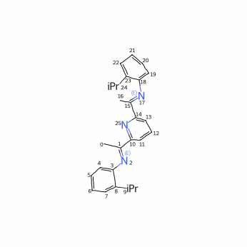 C/C(=N\c1ccccc1C(C)C)c1cccc(/C(C)=N/c2ccccc2C(C)C)n1